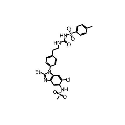 CCc1nc2cc(NS(C)(=O)=O)c(Cl)cc2n1-c1ccc(CCNC(=O)NS(=O)(=O)c2ccc(C)cc2)cc1